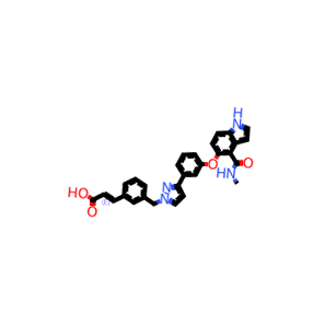 CNC(=O)c1c(Oc2cccc(-c3ccn(Cc4cccc(/C=C/C(=O)O)c4)n3)c2)ccc2[nH]ccc12